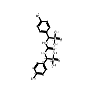 O=C(NC(c1ccc(Br)cc1)P(=O)(O)O)NC(c1ccc(Br)cc1)P(=O)(O)O